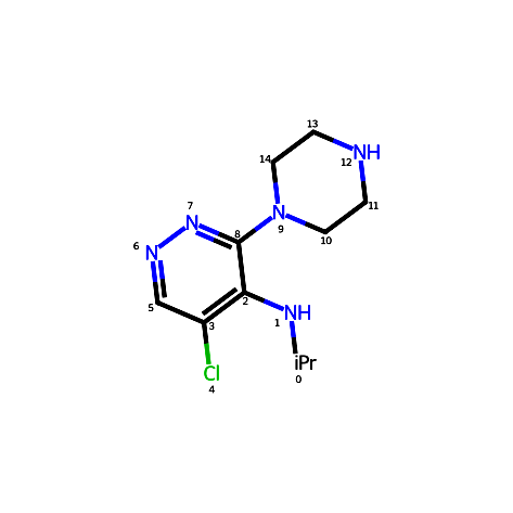 CC(C)Nc1c(Cl)cnnc1N1CCNCC1